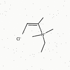 CC=C(C)[N+](C)(C)CC.[Cl-]